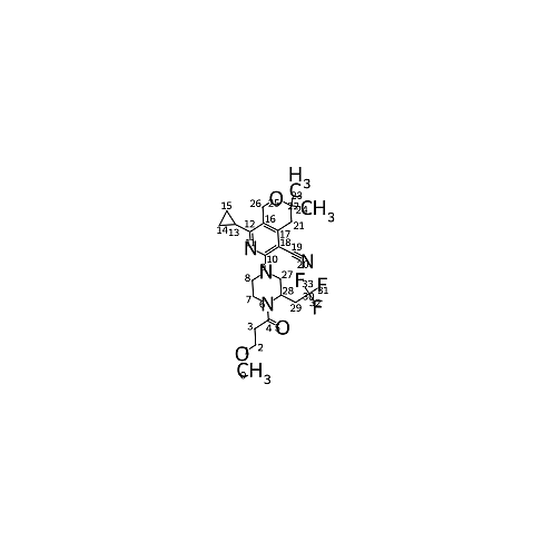 COCCC(=O)N1CCN(c2nc(C3CC3)c3c(c2C#N)CC(C)(C)OC3)CC1CC(F)(F)F